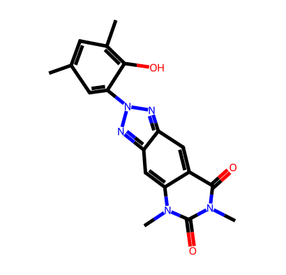 Cc1cc(C)c(O)c(-n2nc3cc4c(=O)n(C)c(=O)n(C)c4cc3n2)c1